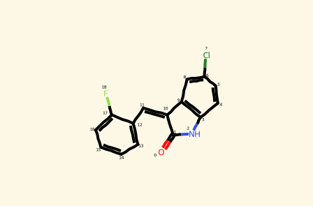 O=C1Nc2ccc(Cl)cc2C1=Cc1ccccc1F